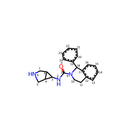 O=C(NC1C2CNCC21)N1CCc2ccccc2C1c1ccccc1